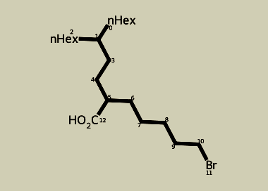 CCCCCCC(CCCCCC)CCC(CCCCCBr)C(=O)O